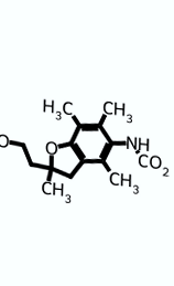 Cc1c(C)c2c(c(C)c1NC(=O)O)CC(C)(CCO)O2